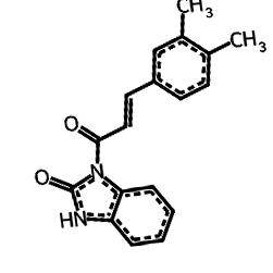 Cc1ccc(/C=C/C(=O)n2c(=O)[nH]c3ccccc32)cc1C